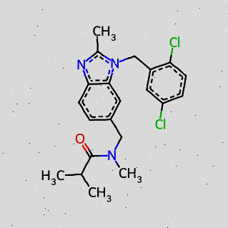 Cc1nc2ccc(CN(C)C(=O)C(C)C)cc2n1Cc1cc(Cl)ccc1Cl